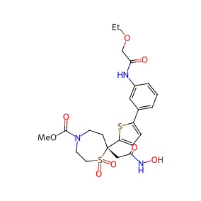 CCOCC(=O)Nc1cccc(-c2ccc([C@@]3(CC(=O)NO)CCN(C(=O)OC)CCS3(=O)=O)s2)c1